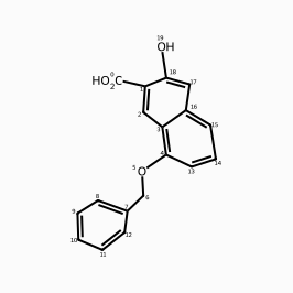 O=C(O)c1cc2c(OCc3ccccc3)cccc2cc1O